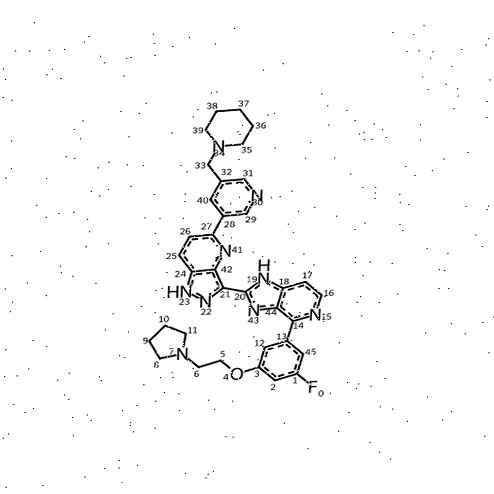 Fc1cc(OCCN2CCCC2)cc(-c2nccc3[nH]c(-c4n[nH]c5ccc(-c6cncc(CN7CCCCC7)c6)nc45)nc23)c1